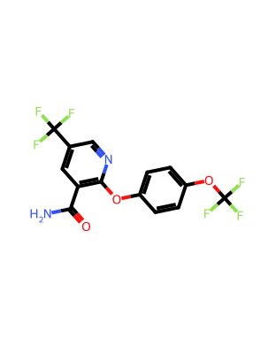 NC(=O)c1cc(C(F)(F)F)cnc1Oc1ccc(OC(F)(F)F)cc1